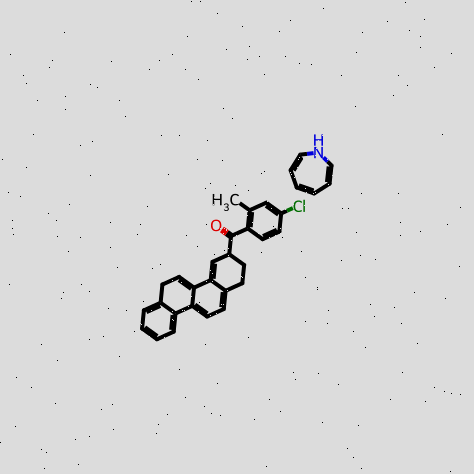 C1=CC=CNC=C1.Cc1cc(Cl)ccc1C(=O)C1C=c2c(ccc3c2=CCc2ccccc2-3)CC1